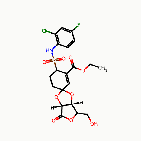 CCOC(=O)C1=CC2(CCC1S(=O)(=O)Nc1ccc(F)cc1Cl)O[C@@H]1[C@@H](CO)OC(=O)[C@@H]1O2